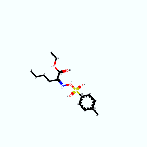 CCCC/C(=N/OS(=O)(=O)c1ccc(C)cc1)C(=O)OCC